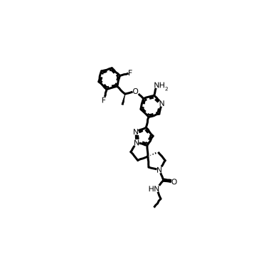 CCNC(=O)N1CC[C@@]2(CCn3nc(-c4cnc(N)c(O[C@@H](C)c5c(F)cccc5F)c4)cc32)C1